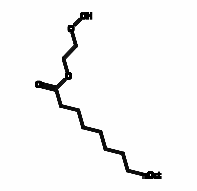 CCCCCCCCCCCCCCCC(=O)OCCOO